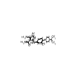 CC(C)N1CCN(c2ccc(Nc3n[nH]c(N)c3C(N)=O)cc2Cl)CC1